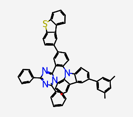 Cc1cc(C)cc(-c2ccc3c(c2)c2ccccc2n3-c2ccc(-c3ccc4sc5ccccc5c4c3)cc2-c2nc(-c3ccccc3)nc(-c3ccccc3)n2)c1